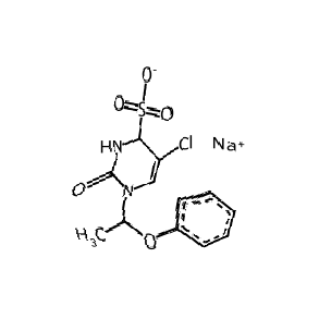 CC(Oc1ccccc1)N1C=C(Cl)C(S(=O)(=O)[O-])NC1=O.[Na+]